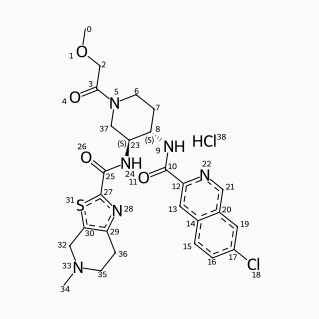 COCC(=O)N1CC[C@H](NC(=O)c2cc3ccc(Cl)cc3cn2)[C@@H](NC(=O)c2nc3c(s2)CN(C)CC3)C1.Cl